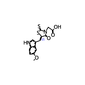 COc1ccc2[nH]cc(/C=C3\SC(=S)N(CC(=O)O)C3=O)c2c1